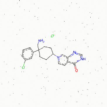 NCC1(c2cccc(Cl)c2)CCC([n+]2ccc3c(=O)[nH]cnc3c2)CC1.[Cl-]